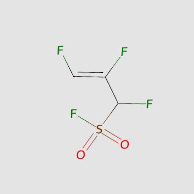 O=S(=O)(F)C(F)C(F)=CF